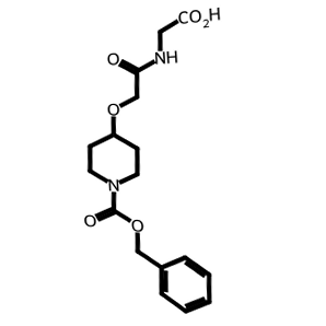 O=C(O)CNC(=O)COC1CCN(C(=O)OCc2ccccc2)CC1